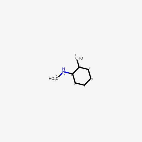 O=CC1CCCCC1NC(=O)O